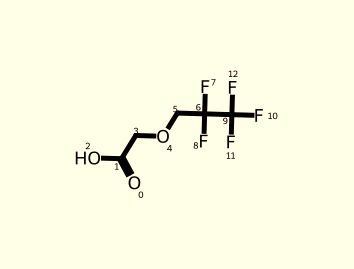 O=C(O)COCC(F)(F)C(F)(F)F